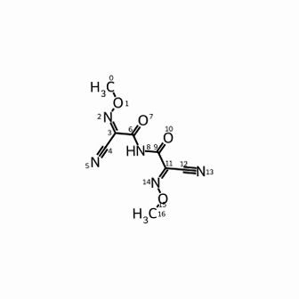 CON=C(C#N)C(=O)NC(=O)C(C#N)=NOC